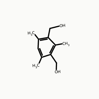 Cc1cc(C)c(CO)c(C)c1CO